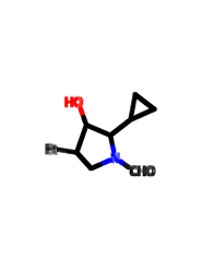 CCC1CN(C=O)C(C2CC2)C1O